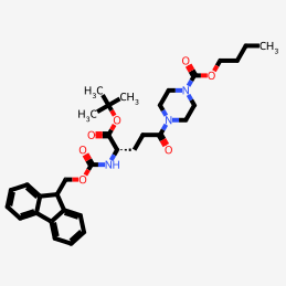 CCCCOC(=O)N1CCN(C(=O)CC[C@H](NC(=O)OCC2c3ccccc3-c3ccccc32)C(=O)OC(C)(C)C)CC1